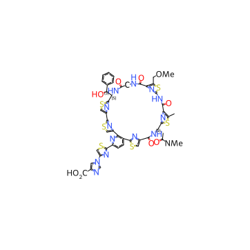 CNC(=O)C[C@@H]1NC(=O)c2csc(n2)-c2ccc(-c3nc(-n4cnc(C(=O)O)c4)cs3)nc2-c2csc(n2)-c2csc(n2)[C@H]([C@@H](O)c2ccccc2)NC(=O)CNC(=O)c2nc(sc2COC)NC(=O)c2nc1sc2C